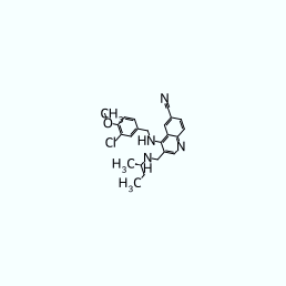 CC[C@@H](C)NCc1cnc2ccc(C#N)cc2c1NCc1ccc(OC)c(Cl)c1